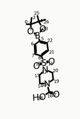 CC1(C)OB(c2ccc(S(=O)(=O)N3CCN(C(=O)O)CC3)cc2)OC1(C)C